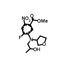 COC(=O)c1cc(N(CC(C)O)C2CCOC2)c(F)cc1[N+](=O)[O-]